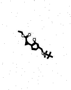 CCOC(=O)C1CC1c1ccc(CO[Si](C)(C)C(C)(C)C)cc1Cl